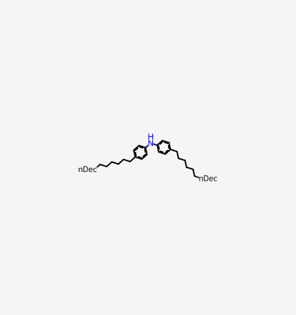 CCCCCCCCCCCCCCCCc1ccc(Nc2ccc(CCCCCCCCCCCCCCCC)cc2)cc1